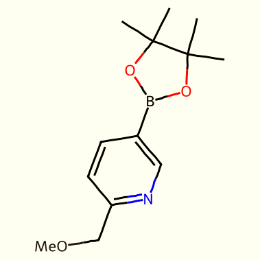 COCc1ccc(B2OC(C)(C)C(C)(C)O2)cn1